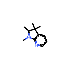 CC1=[N+](C)c2ncccc2C1(C)C